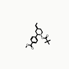 CC=C1CCN(OC(=O)C(C)(C)C)C(c2ccc(C(=O)OC)cc2)C1